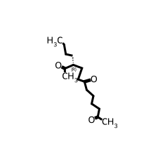 CCCC[C@H](CCC(=O)CCCCC(C)=O)C(C)=O